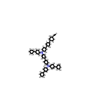 C#Cc1ccc(-c2ccc(-c3ccc(N(c4ccc(-c5ccccc5)cc4)c4ccc(-c5ccc(N(c6ccc(-c7ccccc7)cc6)c6ccc(-c7ccccc7)cc6)cc5)cc4)cc3)cc2)cc1